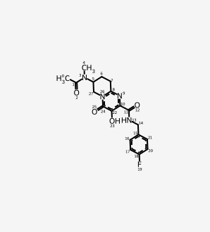 CC(=O)N(C)C1CCc2nc(C(=O)NCc3ccc(F)cc3)c(O)c(=O)n2C1